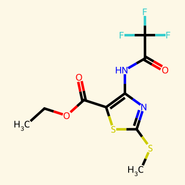 CCOC(=O)c1sc(SC)nc1NC(=O)C(F)(F)F